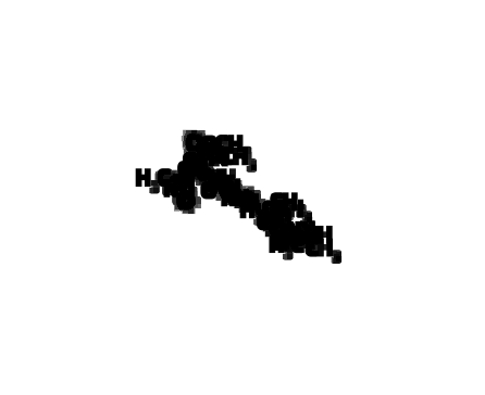 CN[C@@H](C)C(=O)N[C@H](C(=O)N1C[C@@H](NC(=O)c2cnc(N3CCN(CCCOc4cc5ncnc(Nc6n[nH]c(C)c6C)c5cc4S(=O)(=O)C(C)(C)C)CC3)nc2)C[C@H]1C(=O)Nc1cc(C)nn1-c1ccccc1)C1CCCCC1